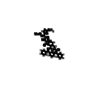 CON=C(C(=O)NC1C(=O)N2C(C(=O)OC(c3ccccc3)c3ccccc3)=C(COC(=O)Nc3ccccc3)CS[C@@H]12)c1csc(N)n1